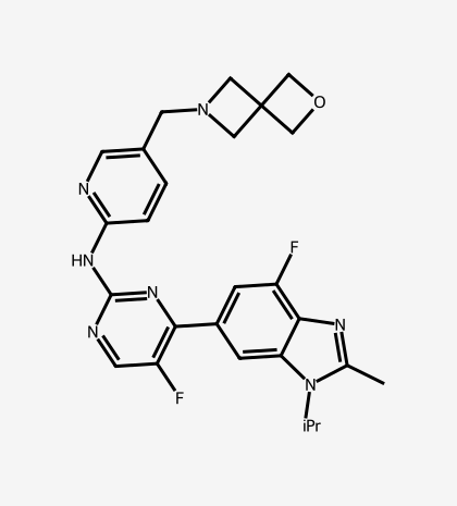 Cc1nc2c(F)cc(-c3nc(Nc4ccc(CN5CC6(COC6)C5)cn4)ncc3F)cc2n1C(C)C